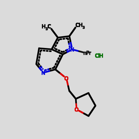 CCCn1c(C)c(C)c2ccnc(OCC3CCCO3)c21.Cl